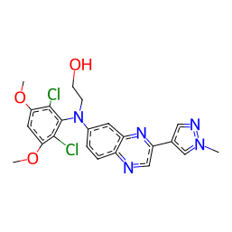 COc1cc(OC)c(Cl)c(N(CCO)c2ccc3ncc(-c4cnn(C)c4)nc3c2)c1Cl